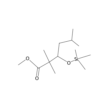 COC(=O)C(C)(C)C(CC(C)C)O[Si](C)(C)C